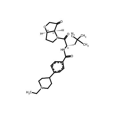 CCN1CCC(c2ccc(C(=O)N[C@@H](CC(C)(C)C)C(=O)N3CC[C@H]4OCC(=O)[C@H]43)cc2)CC1